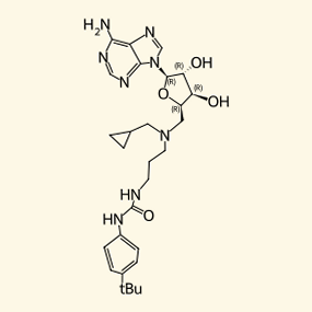 CC(C)(C)c1ccc(NC(=O)NCCCN(CC2CC2)C[C@H]2O[C@@H](n3cnc4c(N)ncnc43)[C@H](O)[C@H]2O)cc1